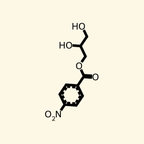 O=C(OCC(O)CO)c1ccc([N+](=O)[O-])cc1